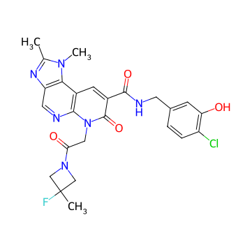 Cc1nc2cnc3c(cc(C(=O)NCc4ccc(Cl)c(O)c4)c(=O)n3CC(=O)N3CC(C)(F)C3)c2n1C